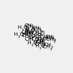 Cc1cc(Cl)cc(-c2cc(C(C)(C)CC(C)(C)C)cc(-n3c4ccc(C(C)(C)C)cc4c4cc(C(C)(C)C)ccc43)c2O)c1OCCOc1c(C)cc(Cl)cc1-c1cc(C(C)(C)CC(C)(C)C)cc(-n2c3ccc(C(C)(C)C)cc3c3cc(C(C)(C)C)ccc32)c1O